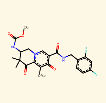 COc1c2n(cc(C(=O)NCc3ccc(F)cc3F)c1=O)CC(NC(=O)OC(C)(C)C)C(C)(C)C2=O